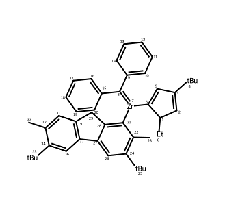 CCC1C=C(C(C)(C)C)C=[C]1[Zr](=[C](c1ccccc1)c1ccccc1)[c]1c(C)c(C(C)(C)C)cc2c1Cc1cc(C)c(C(C)(C)C)cc1-2